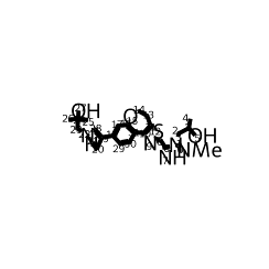 CNN(CC(C)O)C(=N)c1nc2c(s1)CCOc1cc(-c3cnn(CC(C)(C)O)c3)ccc1-2